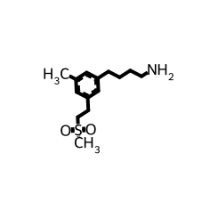 Cc1cc(CCCCN)cc(CCS(C)(=O)=O)c1